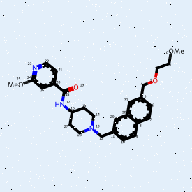 COCCOCc1ccc2ccc(CN3CCC(NC(=O)c4ccnc(OC)c4)CC3)cc2c1